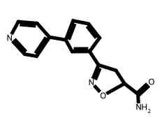 NC(=O)C1CC(c2cccc(-c3ccncc3)c2)=NO1